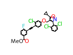 COC(=O)c1ccc(F)c(C#Cc2ccc(OCc3c(-c4c(Cl)cccc4Cl)noc3C3CC3)cc2Cl)c1